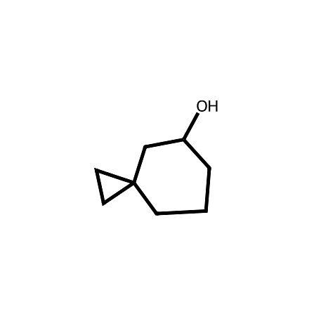 OC1CCCC2(CC2)C1